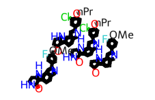 CCCOc1ccc(-c2cc3c(ccc4c5c([nH]c43)CCC5=O)cn2)cc1Cl.CCCOc1ccc(-c2cc3c(ccc4c5c([nH]c43)CCNC5=O)cn2)cc1Cl.COc1ccc(-c2cc3c(ccc4c5c([nH]c43)CCC5=O)cn2)cc1F.COc1ccc(-c2cc3c(ccc4c5c([nH]c43)CCNC5=O)cn2)cc1F